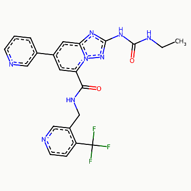 CCNC(=O)Nc1nc2cc(-c3cccnc3)cc(C(=O)NCc3cnccc3C(F)(F)F)n2n1